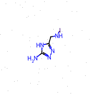 Nc1nnc(CNI)[nH]1